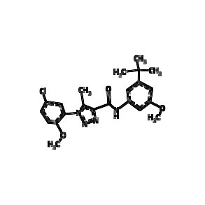 COc1cc(NC(=O)c2nnn(-c3cc(Cl)ccc3OC)c2C)cc(C(C)(C)C)c1